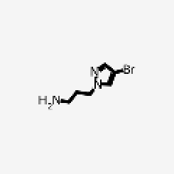 NCCCn1cc(Br)cn1